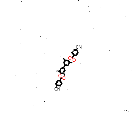 Cc1cc(-c2cc(C)c(OC(=O)c3ccc(C#N)cc3)c(C)c2)cc(C)c1OC(=O)c1ccc(C#N)cc1